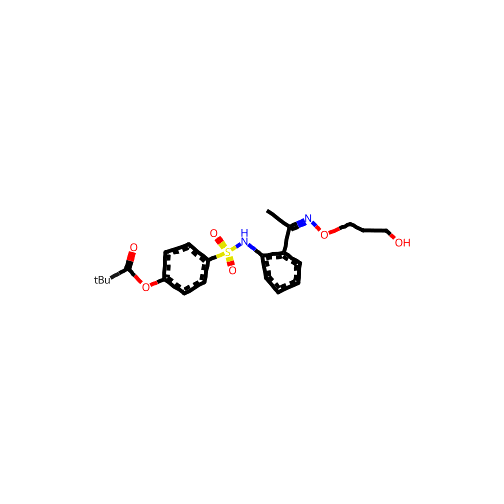 C/C(=N/OCCCO)c1ccccc1NS(=O)(=O)c1ccc(OC(=O)C(C)(C)C)cc1